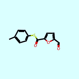 Cc1ccc(SC(=O)c2ccc(C=O)o2)cc1